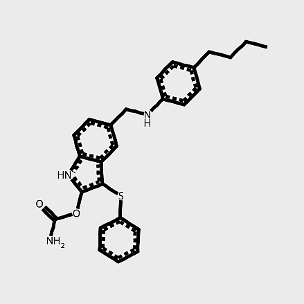 CCCCc1ccc(NCc2ccc3[nH]c(OC(N)=O)c(Sc4ccccc4)c3c2)cc1